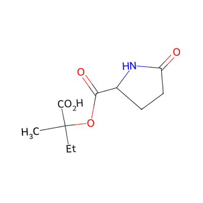 CCC(C)(OC(=O)C1CCC(=O)N1)C(=O)O